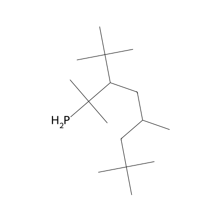 CC(CC(C(C)(C)C)C(C)(C)P)CC(C)(C)C